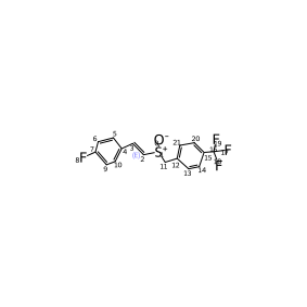 [O-][S+](/C=C/c1ccc(F)cc1)Cc1ccc(C(F)(F)F)cc1